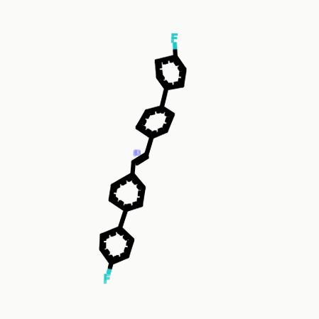 Fc1ccc(-c2ccc(/C=C/c3ccc(-c4ccc(F)cc4)cc3)cc2)cc1